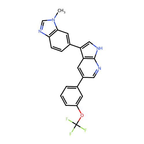 Cn1cnc2ccc(-c3c[nH]c4ncc(-c5cccc(OC(F)(F)F)c5)cc34)cc21